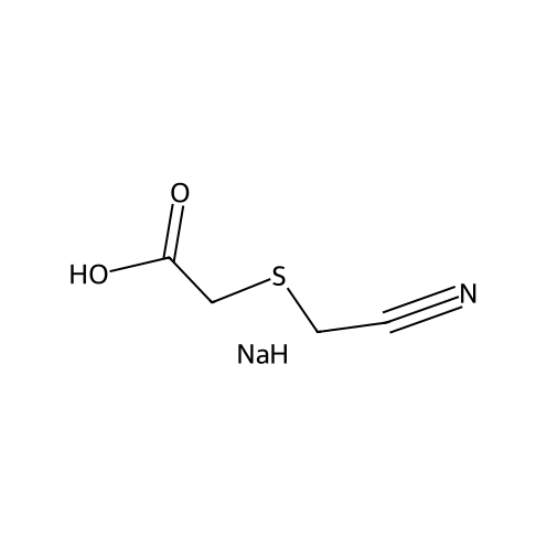 N#CCSCC(=O)O.[NaH]